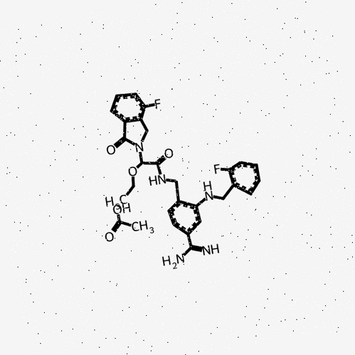 CC(=O)O.CCOC(C(=O)NCc1ccc(C(=N)N)cc1NCc1ccccc1F)N1Cc2c(F)cccc2C1=O